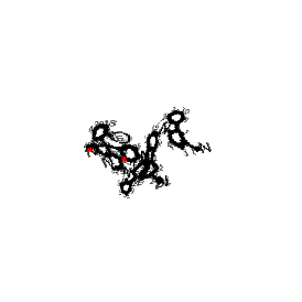 N#Cc1ccc2c(c1)c1ccccc1n2-c1ccc2c(c1)c1cc(C#N)ccc1n2-c1ccc2c(c1)Oc1ccccc1C21c2cccnc2-c2ncc(-n3c4ccccc4c4ccccc43)cc21